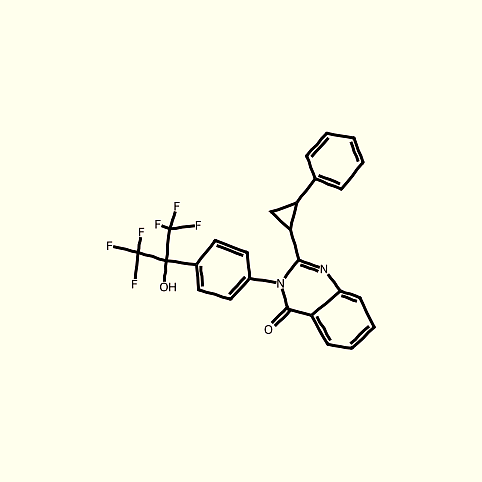 O=c1c2ccccc2nc(C2CC2c2ccccc2)n1-c1ccc(C(O)(C(F)(F)F)C(F)(F)F)cc1